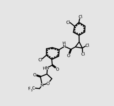 O=C(NC1CON(CC(F)(F)F)C1=O)c1cc(NC(=O)C2C(c3ccc(Cl)c(Cl)c3)C2(Cl)Cl)ccc1Cl